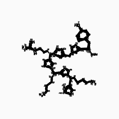 CC(=O)N[C@@H](Cc1ccc(O)cc1)c1cn(Cc2cn([C@@H](CCCNC(=N)N)c3cn([C@@H](CCCCN)c4cn([C@@H](CCCCN)c5c[nH]nn5)nn4)nn3)nn2)nn1